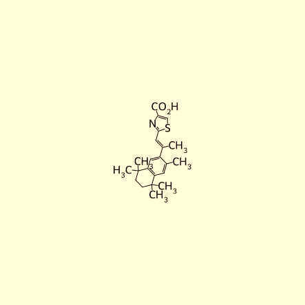 C/C(=C\c1nc(C(=O)O)cs1)c1cc2c(cc1C)C(C)(C)CCC2(C)C